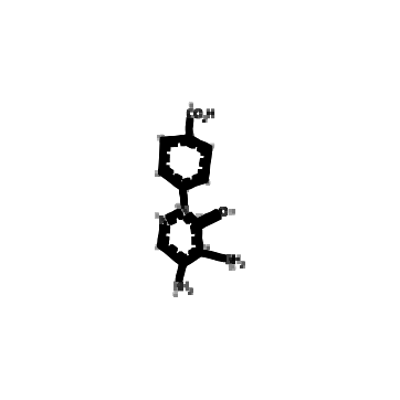 Bc1cnn(-c2ccc(C(=O)O)cc2)c(=O)c1B